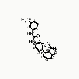 Cc1cccc(NC(=O)Nc2ccc(-c3cccc4onc(N)c34)cc2)c1